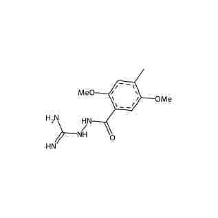 COc1cc(C(=O)NNC(=N)N)c(OC)cc1C